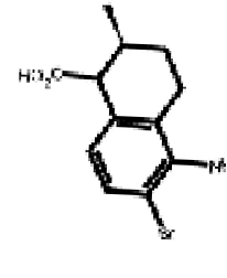 C[C@H]1CCc2c(ccc(Br)c2N)C1C(=O)O